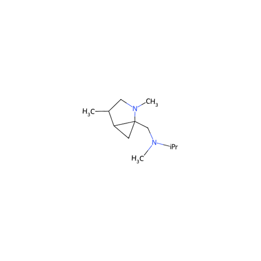 CC1CN(C)C2(CN(C)C(C)C)CC12